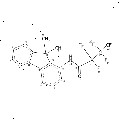 CC1(C)c2ccccc2-c2cccc(NC(=O)C(F)(F)C(F)(F)C(F)(F)F)c21